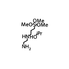 CC(C)O.CO[Si](CCCNCCN)(OC)OC